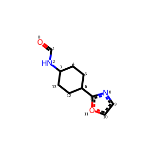 O=CNC1CCC(c2ncco2)CC1